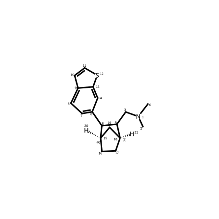 CN(C)CC1C(c2ccc3ccsc3c2)[C@@H]2CC[C@H]1C2